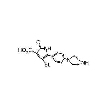 CCc1cc(C(=O)O)c(=O)[nH]c1-c1ccc(N2CC3NC3C2)cc1